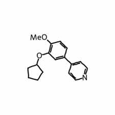 COc1ccc(-c2ccncc2)cc1OC1CCCC1